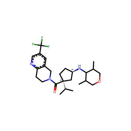 CC1COCC(C)C1N[C@@H]1CC[C@@](C(=O)N2CCc3ncc(C(F)(F)F)cc3C2)(C(C)C)C1